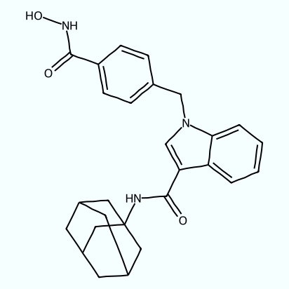 O=C(NO)c1ccc(Cn2cc(C(=O)NC34CC5CC(CC(C5)C3)C4)c3ccccc32)cc1